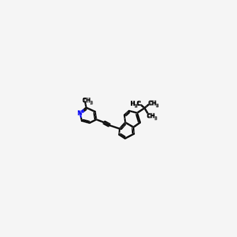 Cc1cc(C#Cc2cccc3cc(C(C)(C)C)ccc23)ccn1